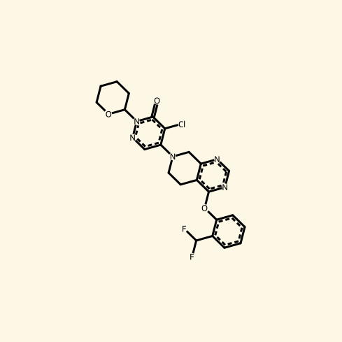 O=c1c(Cl)c(N2CCc3c(ncnc3Oc3ccccc3C(F)F)C2)cnn1C1CCCCO1